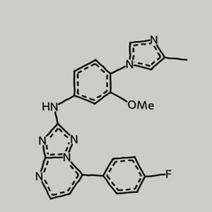 COc1cc(Nc2nc3nccc(-c4ccc(F)cc4)n3n2)ccc1-n1cnc(C)c1